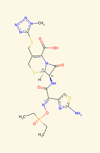 CCP(=O)(CC)O/N=C(/C(=O)N[C@@H]1C(=O)N2C(C(=O)O)=C(CSc3nnnn3C)CS[C@H]12)c1csc(N)n1